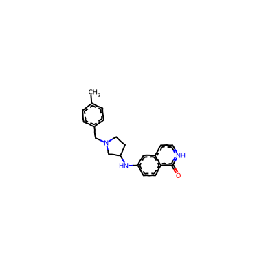 Cc1ccc(CN2CCC(Nc3ccc4c(=O)[nH]ccc4c3)C2)cc1